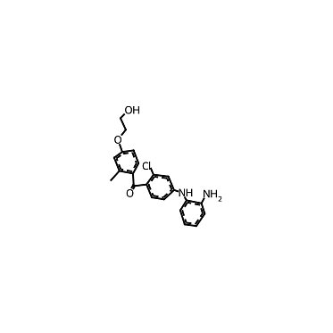 Cc1cc(OCCO)ccc1C(=O)c1ccc(Nc2ccccc2N)cc1Cl